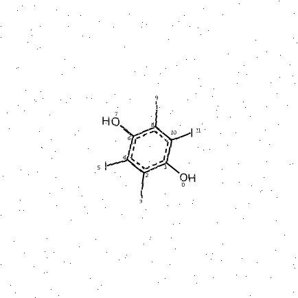 Oc1c(I)c(I)c(O)c(I)c1I